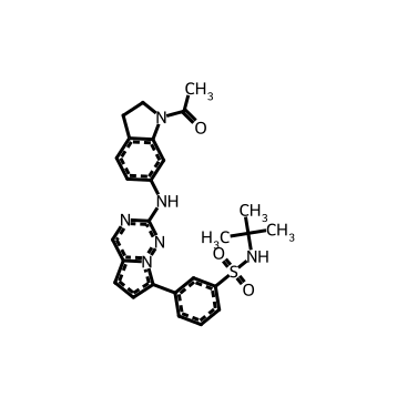 CC(=O)N1CCc2ccc(Nc3ncc4ccc(-c5cccc(S(=O)(=O)NC(C)(C)C)c5)n4n3)cc21